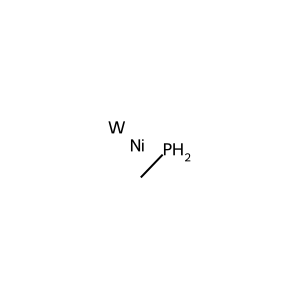 CP.[Ni].[W]